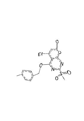 CCc1cc(=O)oc2nc(S(C)(=O)=O)nc(OCc3ccc(C)cc3)c12